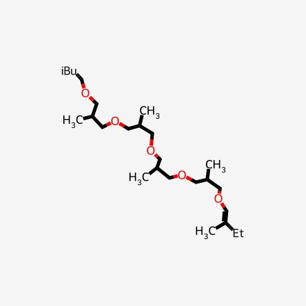 CC/C(C)=C/OCC(C)COCC(C)COCC(C)COCC(C)COCC(C)CC